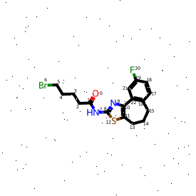 O=C(CCCCBr)Nc1nc2c(s1)CCCc1ccc(F)cc1-2